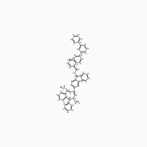 C/C1=C\C(c2ccc3c(c2)c2ccccc2n3C/N=C(\C=C/N)c2ccc(-c3cccc(-c4ccccc4)c3)cc2)=C/C(C)N(c2ccccc2)c2ccccc21